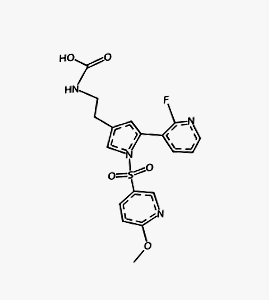 COc1ccc(S(=O)(=O)n2cc(CCNC(=O)O)cc2-c2cccnc2F)cn1